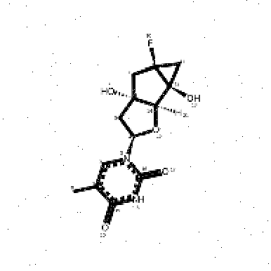 Cc1cn([C@H]2C[C@@]3(O)C[C@]4(F)C[C@]4(O)[C@H]3O2)c(=O)[nH]c1=O